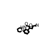 N#Cc1cc2c(o1)c(=O)[nH]c1c(N3CCCCC3)cccc12